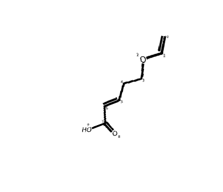 C=CO[CH]CC=CC(=O)O